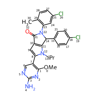 COc1nc(N)ncc1-c1cc2c(n1C(C)C)C(c1ccc(Cl)cc1)N(c1cc(Cl)ccc1C)C2=O